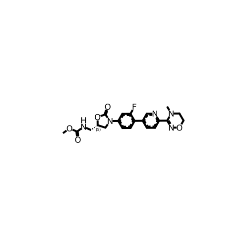 COC(=O)NC[C@H]1CN(c2ccc(-c3ccc(C4=NOCCN4C)nc3)c(F)c2)C(=O)O1